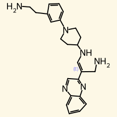 NCCc1cccc(N2CCC(N/C=C(\CN)c3cnc4ccccc4n3)CC2)c1